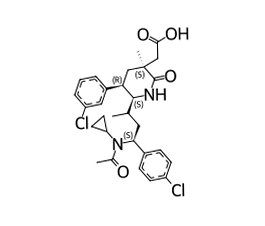 CC(=O)N(C1CC1)[C@@H](CC(C)[C@@H]1NC(=O)[C@](C)(CC(=O)O)C[C@@H]1c1cccc(Cl)c1)c1ccc(Cl)cc1